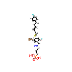 O=P(O)(O)CCCNCc1cc(Br)c(SCCCCCc2ccc(F)cc2)cc1F